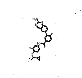 Cc1cc(NC(=O)c2ccc(C)c(-c3ccc4nc(N)ncc4c3)c2)ccc1OC(C)C1CC1